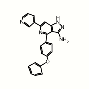 Nc1n[nH]c2cc(-c3cccnc3)nc(-c3ccc(Oc4ccccc4)cc3)c12